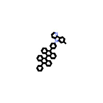 Cc1ccc2c3ncccc3n(-c3ccc(-c4c5ccccc5c(-c5c6ccccc6c(-c6ccccc6)c6ccccc56)c5ccccc45)cc3)c2c1